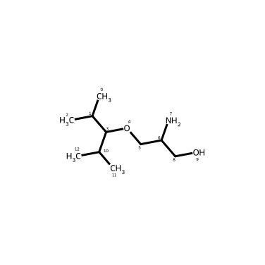 CC(C)C(OCC(N)CO)C(C)C